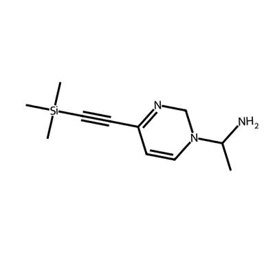 CC(N)N1C=CC(C#C[Si](C)(C)C)=NC1